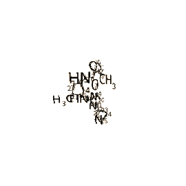 Cc1ccc(NC(=O)c2occc2C)cc1Nc1nccc(-c2cccnc2)n1